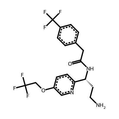 NCC[C@@H](NC(=O)Cc1ccc(C(F)(F)F)cc1)c1ccc(OCC(F)(F)F)cn1